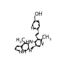 Cc1ncc(C#N)c(Nc2ccc3[nH]ccc3c2C)c1C=Cc1ccc(CO)cn1